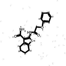 NC(=O)c1c(NC(=O)COc2ccccc2)sc2c1CCCC2